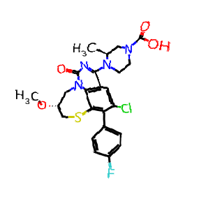 CO[C@H]1CSc2c(-c3ccc(F)cc3)c(Cl)cc3c(N4CCN(C(=O)O)C[C@@H]4C)nc(=O)n(c23)C1